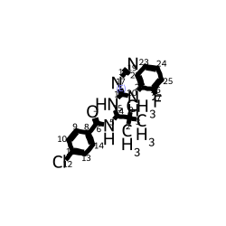 CC(C)(C)C(NC(=O)c1ccc(Cl)cc1)N/C(=N/C#N)Nc1ccccc1F